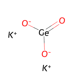 [K+].[K+].[O]=[Ge]([O-])[O-]